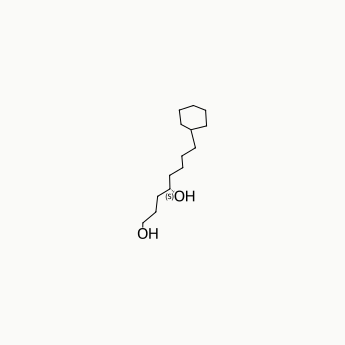 OCCC[C@@H](O)CCCCC1CCCCC1